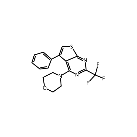 FC(F)(F)c1nc(N2CCOCC2)c2c(-c3ccccc3)csc2n1